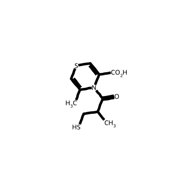 CC1=CSC=C(C(=O)O)N1C(=O)C(C)CS